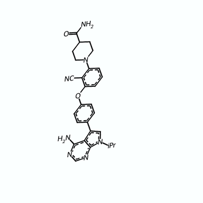 CC(C)n1cc(-c2ccc(Oc3cccc(N4CCC(C(N)=O)CC4)c3C#N)cc2)c2c(N)ncnc21